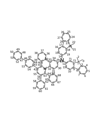 CC1(C)c2ccccc2-c2ccc(N(c3ccc4c(c3)C(C)(C)c3ccccc3-4)c3ccc4c(c3)c3ccccc3c3c(-c5ccc(-c6ccccc6)cc5)cc(-c5ccccc5)c(-c5ccccc5)c43)cc21